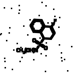 CN(O)S(=O)(=O)C1CC=C(F)c2ccccc21